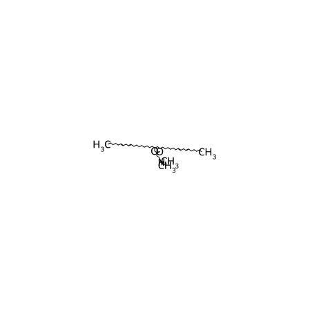 CCCCCC=CCC=CCCCCCCCCC(CCCCCCCCC=CCC=CCCCCC)OC(=O)CCCN(C)C